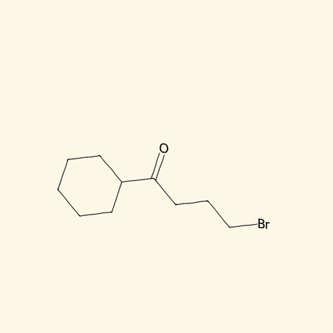 O=C(CCCBr)C1CCCCC1